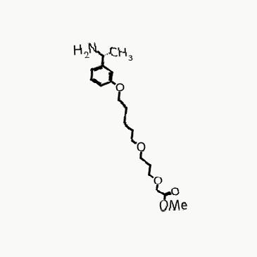 COC(=O)COCCCOCCCCCOc1cccc([C@@H](C)N)c1